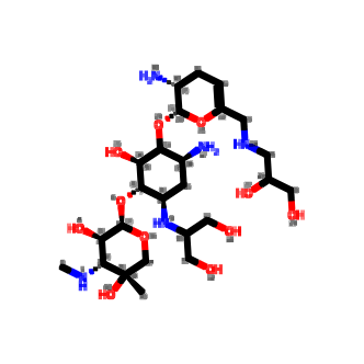 CN[C@@H]1[C@@H](O)[C@@H](O[C@H]2[C@H](NC(CO)CO)C[C@H](N)C(O[C@H]3OC(CNCC(O)CO)=CC[C@H]3N)[C@@H]2O)OC[C@]1(C)O